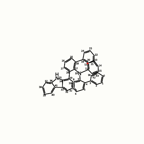 c1ccc(-c2ccccc2N(c2ccccc2)c2c(-c3ccccc3)cccc2-c2cccc3c2[nH]c2ccccc23)cc1